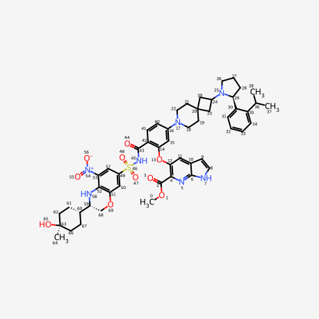 COC(=O)c1nc2[nH]ccc2cc1Oc1cc(N2CCC3(CC2)CC(N2CCC[C@H]2c2ccccc2C(C)C)C3)ccc1C(=O)NS(=O)(=O)c1cc2c(c([N+](=O)[O-])c1)N[C@@H]([C@H]1CC[C@](C)(O)CC1)CO2